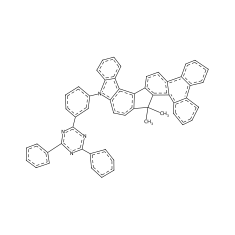 CC1(C)c2ccc3c(c2-c2ccc4c5ccccc5c5ccccc5c4c21)c1ccccc1n3-c1cccc(-c2nc(-c3ccccc3)nc(-c3ccccc3)n2)c1